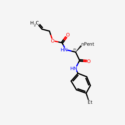 C=CCOC(=O)N[C@@H](CCCCC)C(=O)Nc1ccc(CC)cc1